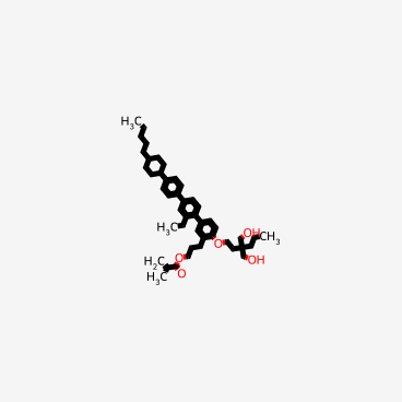 C=C(C)C(=O)OCCCc1cc(-c2ccc(-c3ccc(C4CCC(CCCCC)CC4)cc3)cc2CC)ccc1OCCC(CO)(CO)CCC